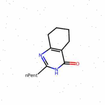 CCCCCc1nc2c(c(=O)[nH]1)CCCC2